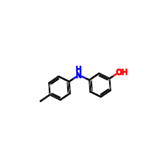 Cc1ccc(Nc2cccc(O)c2)cc1